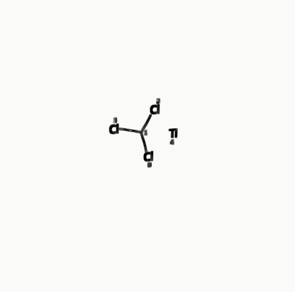 ClC(Cl)Cl.[Ti]